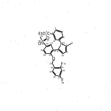 CCOC(=O)c1cccc(-n2c(C)ccc2-c2cc(S(C)(=O)=O)ccc2OCc2ccc(F)cc2F)c1